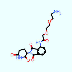 NCCOCCOCC(=O)Nc1cccc2c1C(=O)N(C1CCC(=O)NC1=O)C2=O